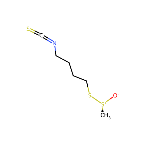 C[S@+]([O-])SCCCCN=C=S